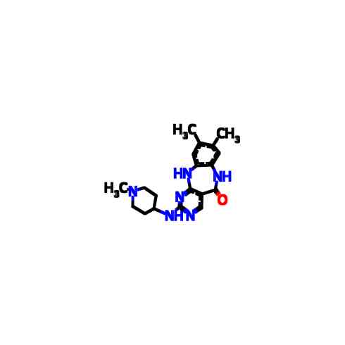 Cc1cc2c(cc1C)Nc1nc(NC3CCN(C)CC3)ncc1C(=O)N2